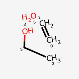 C=C.CCO.O